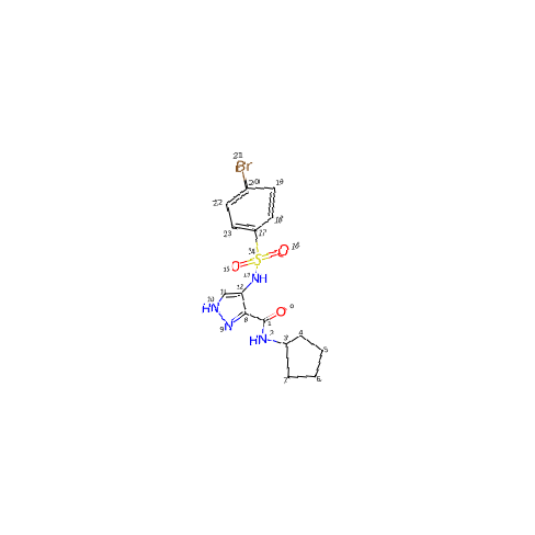 O=C(NC1CCCC1)c1n[nH]cc1NS(=O)(=O)c1ccc(Br)cc1